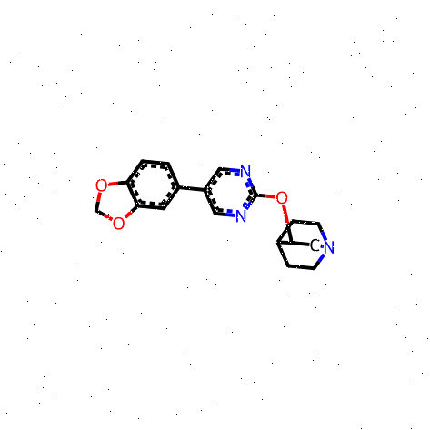 c1cc2c(cc1-c1cnc(OC3CN4CCC3CC4)nc1)OCO2